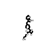 O=C1COC(C2=NC=CC(=Cc3c[nH]c4ncccc34)C=C2)=C1C(=O)OCCCO